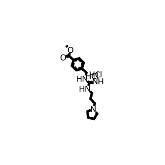 COC(=O)c1ccc(CNC(=N)NCCCN2CCCC2)cc1.Cl.Cl